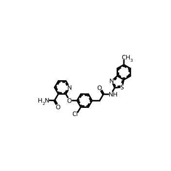 Cc1ccc2sc(NC(=O)Cc3ccc(Oc4ncccc4C(N)=O)c(Cl)c3)nc2c1